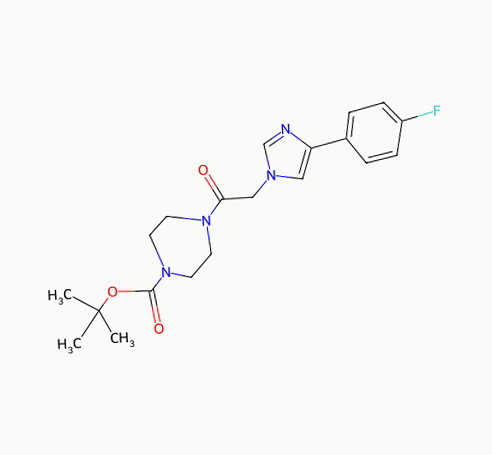 CC(C)(C)OC(=O)N1CCN(C(=O)Cn2cnc(-c3ccc(F)cc3)c2)CC1